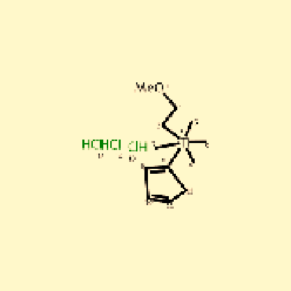 COC[CH2][Ti]([CH3])([CH3])([CH3])([CH3])[C]1=CC=CC1.Cl.Cl.Cl